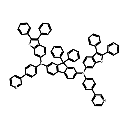 c1ccc(-c2sc3cc(N(c4ccc(-c5cccnc5)cc4)c4ccc5c(c4)C(c4ccccc4)(c4ccccc4)c4cc(N(c6ccc(-c7cccnc7)cc6)c6ccc7c(-c8ccccc8)c(-c8ccccc8)sc7c6)ccc4-5)ccc3c2-c2ccccc2)cc1